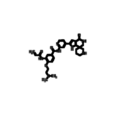 C=CC(=O)Nc1cc(C(=O)Nc2cc(-c3cc4c([nH]3)C3(CCCNC3)CNC4=O)ccn2)ccc1OCCN(C)C